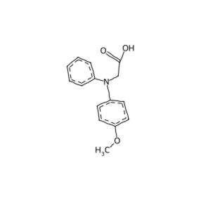 COc1ccc(N(CC(=O)O)c2ccccc2)cc1